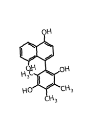 Cc1c(C)c(O)c(-c2ccc(O)c3cccc(O)c23)c(C)c1O